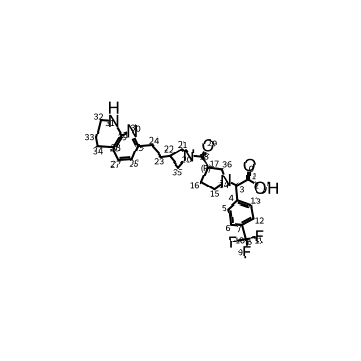 O=C(O)C(c1ccc(C(F)(F)F)cc1)N1CC[C@@H](C(=O)N2CC(CCc3ccc4c(n3)NCCC4)C2)C1